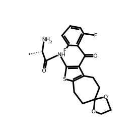 C[C@H](N)C(=O)Nc1sc2c(c1C(=O)c1c(F)cccc1F)CCC1(CC2)OCCO1